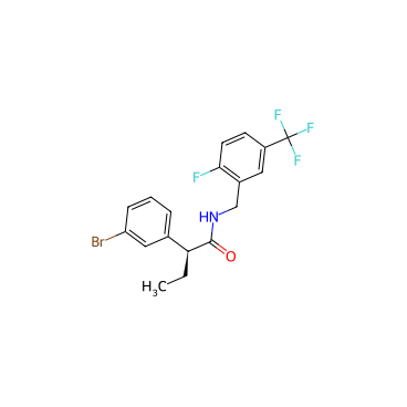 CC[C@H](C(=O)NCc1cc(C(F)(F)F)ccc1F)c1cccc(Br)c1